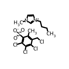 CCCC[n+]1ccn(C)c1.Cc1c(CCl)c(Cl)c(Cl)c(Cl)c1S(=O)(=O)[O-]